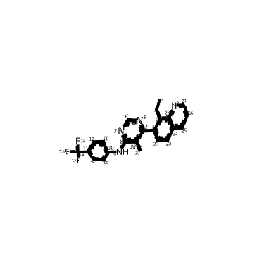 CCc1c(-c2ncnc(Nc3ccc(C(F)(F)F)cc3)c2C)ccc2cccnc12